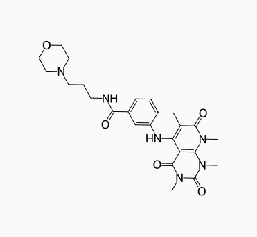 Cc1c(Nc2cccc(C(=O)NCCCN3CCOCC3)c2)c2c(=O)n(C)c(=O)n(C)c2n(C)c1=O